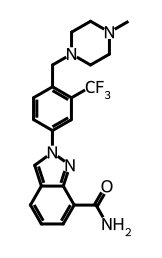 CN1CCN(Cc2ccc(-n3cc4cccc(C(N)=O)c4n3)cc2C(F)(F)F)CC1